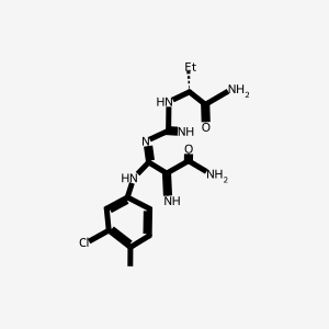 CC[C@@H](NC(=N)/N=C(/Nc1ccc(C)c(Cl)c1)C(=N)C(N)=O)C(N)=O